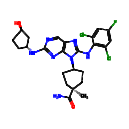 C[C@]1(C(N)=O)CC[C@@H](n2c(Nc3c(Cl)cc(F)cc3Cl)nc3cnc(N[C@@H]4CC[C@@H](O)C4)nc32)CC1